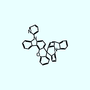 c1ccc(-n2c3ccccc3c3c4c(ccc32)C2(c3ccccc3O4)c3ccccc3-n3c4ccccc4c4cccc2c43)nc1